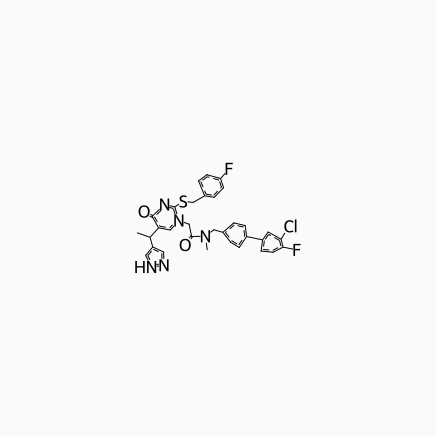 CC(c1cn[nH]c1)c1cn(CC(=O)N(C)Cc2ccc(-c3ccc(F)c(Cl)c3)cc2)c(SCc2ccc(F)cc2)nc1=O